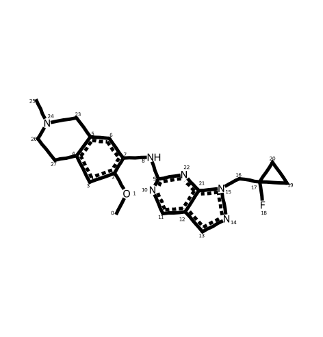 COc1cc2c(cc1Nc1ncc3cnn(CC4(F)CC4)c3n1)CN(C)CC2